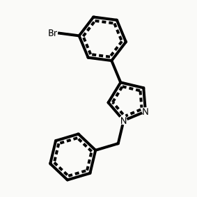 Brc1cccc(-c2cnn(Cc3ccccc3)c2)c1